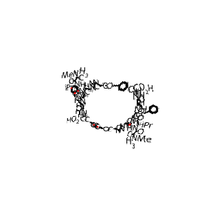 CN[C@@H](C)C(=O)N[C@H](C(=O)N1C[C@@H]2C[C@H]1C(=O)N[C@@H](COCc1ccccc1)C(=O)N[C@H](C(=O)O)Cc1ccc(cc1)OCc1cn(nn1)[C@H]1C[C@@H](C(=O)N[C@@H](COCc3ccccc3)C(=O)N[C@H](C(=O)O)Cc3ccc(cc3)OCc3cn2nn3)N(C(=O)[C@@H](NC(=O)[C@H](C)NC)C(C)C)C1)C(C)C